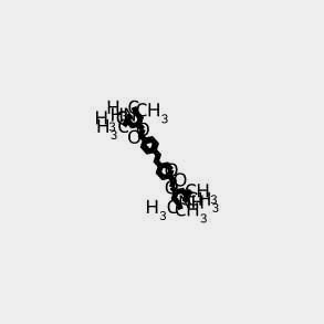 CC1(C)CC(OC(=O)c2ccc(CCC3CCC(C(=O)OC4CC(C)(C)NC(C)(C)C4)OC3)cc2)CC(C)(C)N1